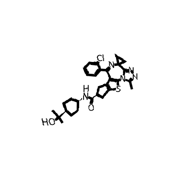 Cc1nnc2n1-c1sc3c(c1C(c1ccccc1Cl)=NC21CC1)C[C@H](C(=O)N[C@H]1CC[C@H](C(C)(C)O)CC1)C3